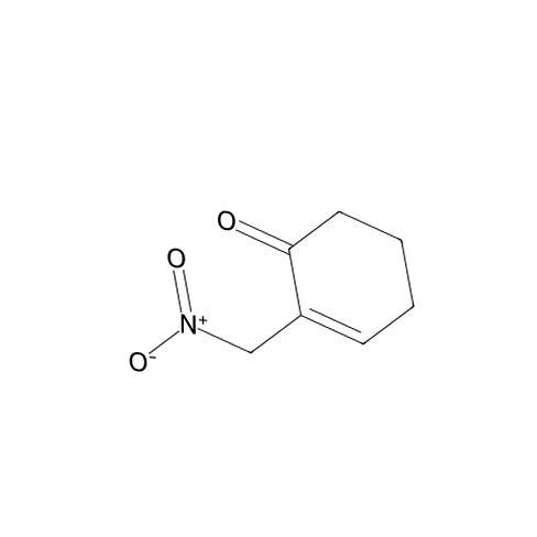 O=C1CCCC=C1C[N+](=O)[O-]